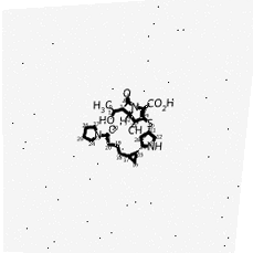 C[C@@H](O)[C@H]1C(=O)N2C(C(=O)O)=C(S[C@@H]3CN[C@H](C4CC4CCCC(=O)N4CCCC4)C3)[C@H](C)[C@H]12